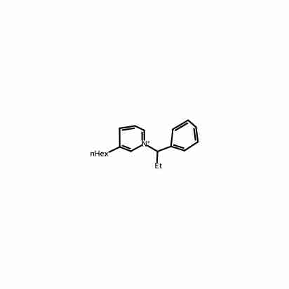 CCCCCCc1ccc[n+](C(CC)c2ccccc2)c1